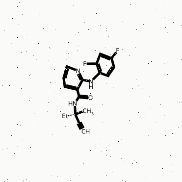 C#C[C@@](C)(CC)NC(=O)c1cccnc1Nc1ccc(F)cc1F